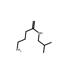 C=C(CCCP)NCC(C)C